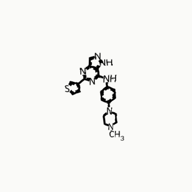 CN1CCN(c2ccc(Nc3nc(-c4ccsc4)nc4cn[nH]c34)cc2)CC1